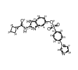 O=C(Nc1nc2cc(OS(=O)(=O)c3ccc(-n4ccnc4)cc3)ccc2[nH]1)N1CCC1